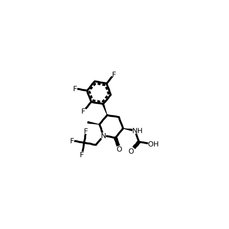 C[C@H]1[C@@H](c2cc(F)cc(F)c2F)C[C@@H](NC(=O)O)C(=O)N1CC(F)(F)F